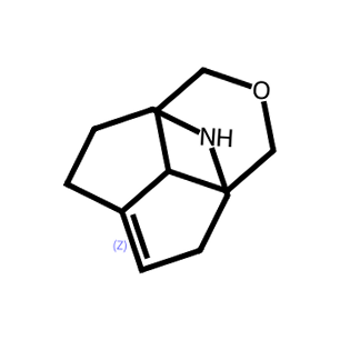 C1=C(\C2CCOCC2)CCCNCC/1